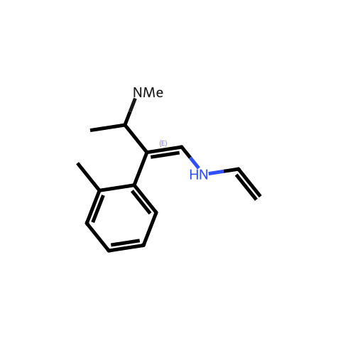 C=CN/C=C(\c1ccccc1C)C(C)NC